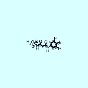 CS(=O)(=O)NC(=O)CC(=O)Nc1cc(I)c(I)c(I)c1